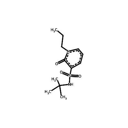 CCCn1cccc(S(=O)(=O)NC(C)(C)C)c1=O